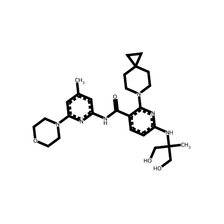 Cc1cc(NC(=O)c2ccc(NC(C)(CO)CO)nc2N2CCC3(CC2)CC3)nc(N2CCOCC2)c1